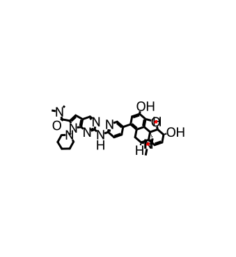 CN(C)C(=O)c1cc2cnc(Nc3ccc(-c4cc(O)c5c6c4C[C@@H]4[C@@H]7C=C[C@H](O)[C@H](O5)[C@]67CCN4C)cn3)nc2n1N1CCCCC1